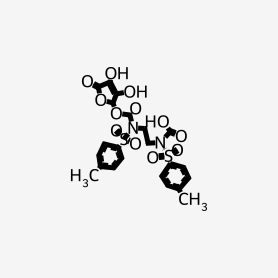 Cc1ccc(S(=O)(=O)N(CCN(C(=O)OC2OC(=O)C(O)=C2O)S(=O)(=O)c2ccc(C)cc2)C(=O)O)cc1